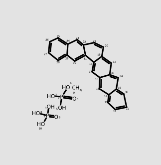 C.O=P(O)(O)O.O=P(O)(O)O.c1ccc2cc3cc4c(ccc5cc6ccccc6cc54)cc3cc2c1